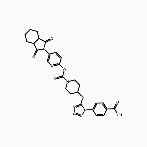 O=C(O)c1ccc(-n2nnnc2SC2CCN(C(=O)Oc3ccc(N4C(=O)C5CCCCC5C4=O)cn3)CC2)cc1